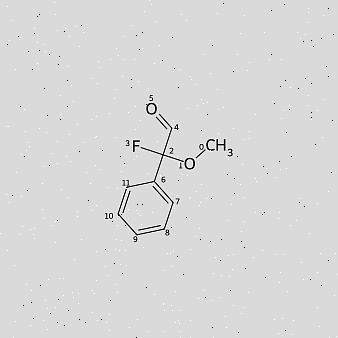 COC(F)(C=O)c1ccccc1